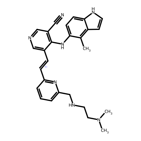 Cc1c(Nc2c(C#N)cncc2/C=C/c2cccc(CNCCN(C)C)n2)ccc2[nH]ccc12